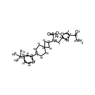 NC(=O)c1coc(CN(C(=O)O)C2CC3(CCN(c4cc(C(F)(F)F)ccn4)CC3)C2)n1